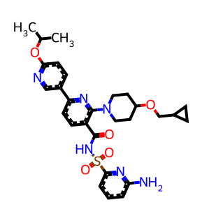 CC(C)Oc1ccc(-c2ccc(C(=O)NS(=O)(=O)c3cccc(N)n3)c(N3CCC(OCC4CC4)CC3)n2)cn1